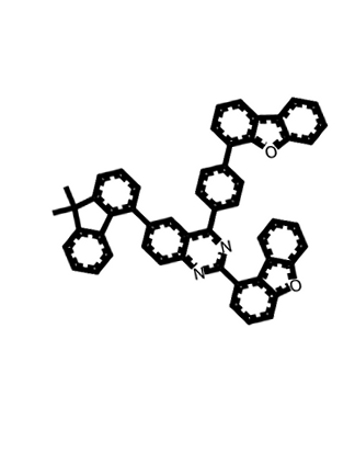 CC1(C)c2ccccc2-c2c(-c3ccc4nc(-c5cccc6oc7ccccc7c56)nc(-c5ccc(-c6cccc7c6oc6ccccc67)cc5)c4c3)cccc21